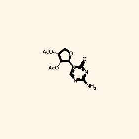 CC(=O)O[C@H]1[C@H](n2cnc(N)nc2=O)OC[C@H]1OC(C)=O